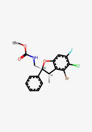 C[C@H]1c2c(cc(F)c(Cl)c2Br)O[C@]1(CNC(=O)OC(C)(C)C)c1ccccc1